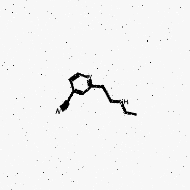 CCNCCc1cc(C#N)ccn1